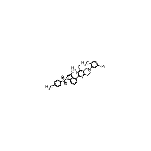 Cc1ccc(S(=O)(=O)n2cc(C)c3c(-c4nc(Cl)c5c(n4)CCN(c4cc(C(C)C)ccc4C)C5)cccc32)cc1